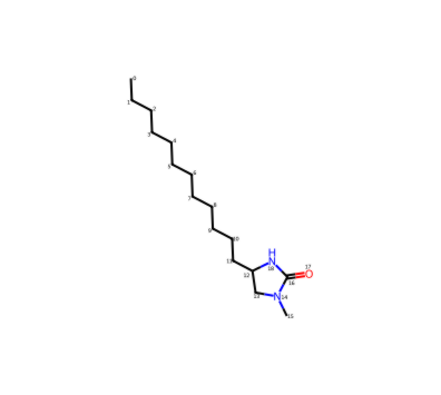 CCCCCCCCCCCCC1CN(C)C(=O)N1